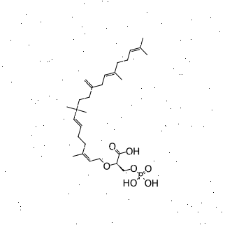 C=C(C/C=C(\C)CCC=C(C)C)CCC(C)(C)/C=C/CC/C(C)=C\CO[C@H](COP(=O)(O)O)C(=O)O